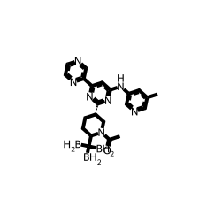 BC(B)(B)C1CC[C@H](c2nc(Nc3cncc(C)c3)cc(-c3cnccn3)n2)CN1C(C)=O